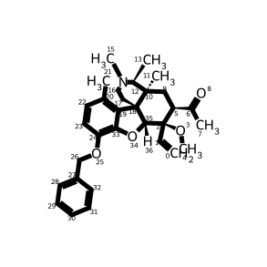 C=C[C@@]1(OC)[C@H](C(C)=O)C[C@]2(C)[C@H](C)N(C)CC[C@@]23c2c(C)ccc(OCc4ccccc4)c2O[C@@H]13